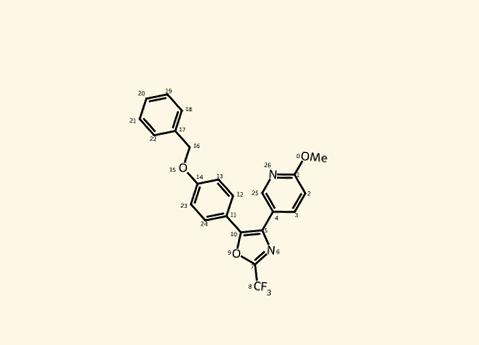 COc1ccc(-c2nc(C(F)(F)F)oc2-c2ccc(OCc3ccccc3)cc2)cn1